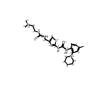 Cc1ccc(NC(=O)Nc2nc(CNC(=O)OCCN(C)C)cs2)c(N2CCCCC2)c1